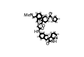 CCC1(C(=O)N(CC(=O)Nc2ccc3c(c2)C[C@@]2(C3)C(=O)Nc3ncccc32)Cc2ccccc2CNC)CCN(C(=O)N2CCCC2)CC1